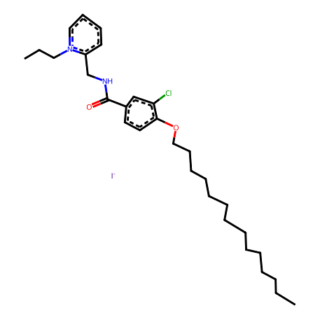 CCCCCCCCCCCCCCOc1ccc(C(=O)NCc2cccc[n+]2CCC)cc1Cl.[I-]